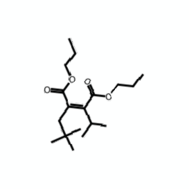 CCCOC(=O)C(CC(C)(C)C)=C(C(=O)OCCC)C(C)C